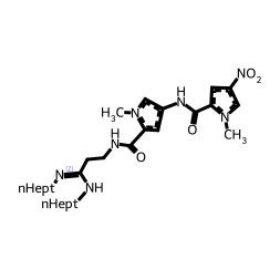 CCCCCCC/N=C(/CCNC(=O)c1cc(NC(=O)c2cc([N+](=O)[O-])cn2C)cn1C)NCCCCCCC